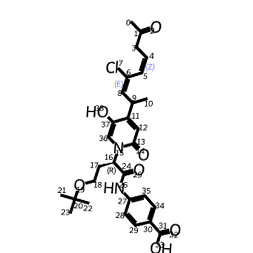 CC(=O)C/C=C\C(Cl)=C/C(C)c1cc(=O)n([C@H](CCOC(C)(C)C)C(=O)Nc2ccc(C(=O)O)cc2)cc1O